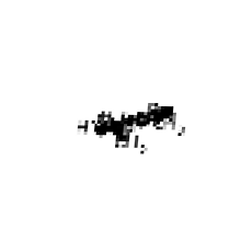 C=Nc1cc(-c2cc[nH]n2)c(Cl)cc1/N=C(\C)N1CCC(N(C)C(=O)[C@H]2CCCO2)CC1